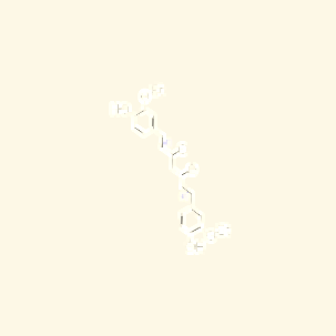 CCOc1cc(/C=C/C(=O)CC(=O)/C=C/c2ccc(O)c(OCC)c2)ccc1O